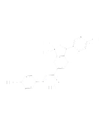 Cc1ccc(/C=C/C(=N\O)c2ccc3c(c2)C(C)(C)C=C3c2ccc(C)cc2)cc1